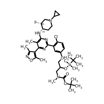 Cc1noc(C)c1-c1nc(-c2cc(OCC(CN(C)C(=O)OC(C)(C)C)O[Si](C)(C)C(C)(C)C)ccc2Cl)nc(N[C@H]2CCN(C3CC3)C[C@H]2F)c1C